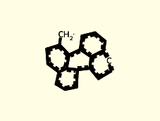 [CH2]c1ccc2cccc3c4cccc5cccc(c1c23)c54